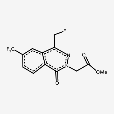 COC(=O)Cn1nc(CF)c2cc(C(F)(F)F)ccc2c1=O